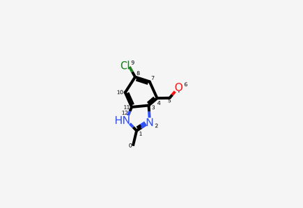 Cc1nc2c(C[O])cc(Cl)cc2[nH]1